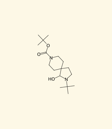 CC(C)(C)OC(=O)N1CCC2(CC1)CCN(C(C)(C)C)C2O